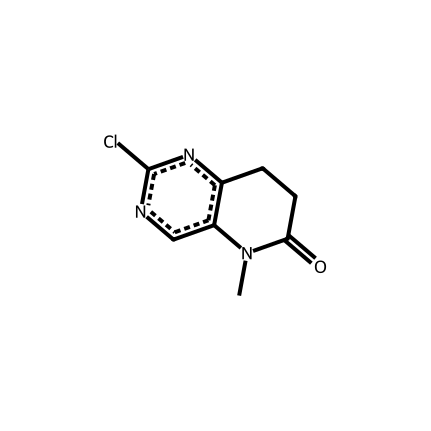 CN1C(=O)CCc2nc(Cl)ncc21